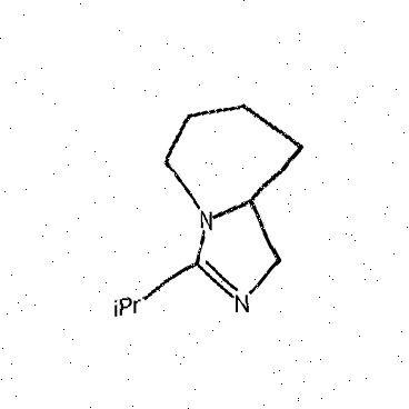 CC(C)C1=NCC2CCCCN12